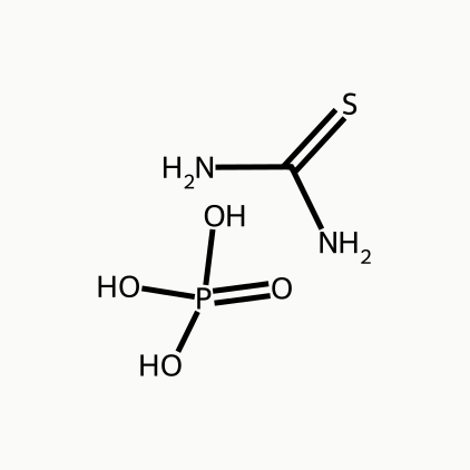 NC(N)=S.O=P(O)(O)O